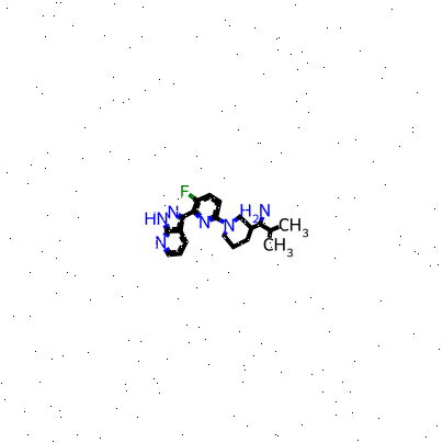 CC(C)C(N)C1CCCN(c2ccc(F)c(-c3n[nH]c4ncccc34)n2)C1